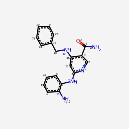 NC(=O)c1cnc(Nc2ccccc2N)cc1NCc1ccccc1